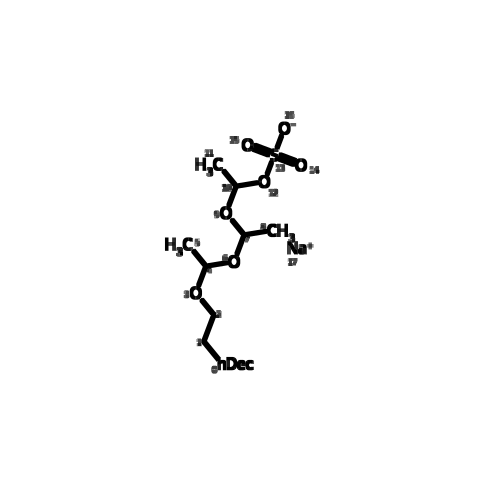 CCCCCCCCCCCCOC(C)OC(C)OC(C)OS(=O)(=O)[O-].[Na+]